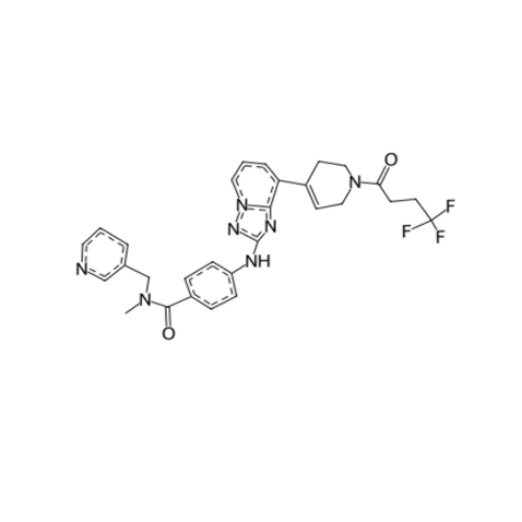 CN(Cc1cccnc1)C(=O)c1ccc(Nc2nc3c(C4=CCN(C(=O)CCC(F)(F)F)CC4)cccn3n2)cc1